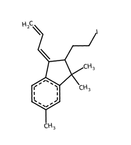 C=C/C=C1/c2ccc(C)cc2C(C)(C)C1CCI